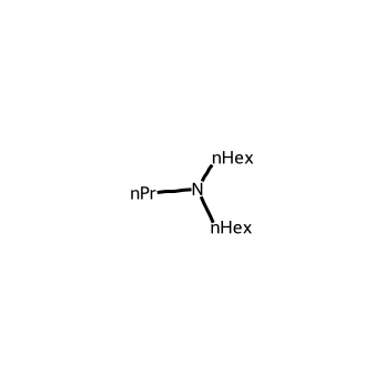 CCCCCCN(CCC)CCCCCC